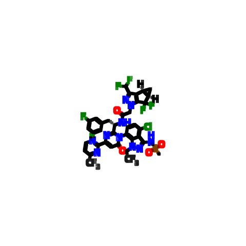 CS(=O)(=O)Nc1nn(CC(F)(F)F)c2c(-n3c([C@H](Cc4cc(F)cc(F)c4)NC(=O)Cn4nc(C(F)F)c5c4C(F)(F)[C@@H]4C[C@H]54)nc(-c4nccc(C(F)(F)F)n4)cc3=O)ccc(Cl)c12